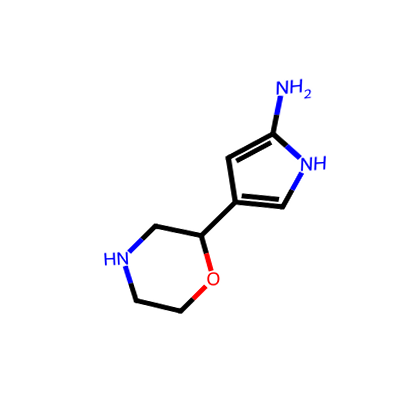 Nc1cc(C2CNCCO2)c[nH]1